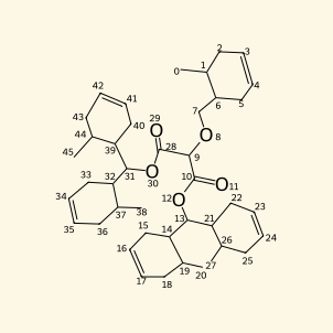 CC1CC=CCC1COC(C(=O)OC(C1CC=CCC1C)C1CC=CCC1C)C(=O)OC(C1CC=CCC1C)C1CC=CCC1C